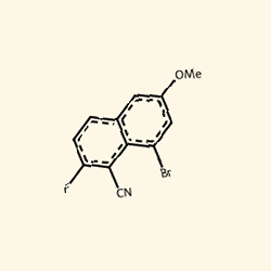 COc1cc(Br)c2c(C#N)c(F)ccc2c1